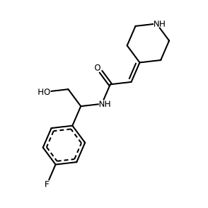 O=C(C=C1CCNCC1)NC(CO)c1ccc(F)cc1